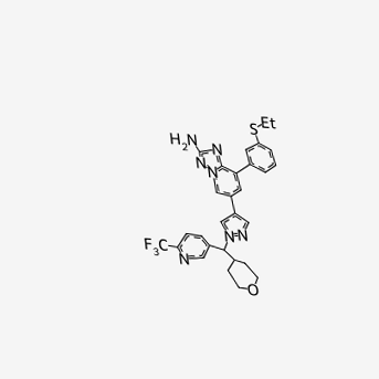 CCSc1cccc(-c2cc(-c3cnn(C(c4ccc(C(F)(F)F)nc4)C4CCOCC4)c3)cn3nc(N)nc23)c1